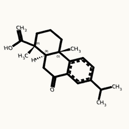 C=C(O)[C@]1(C)CCC[C@]2(C)c3ccc(C(C)C)cc3C(=O)C[C@@H]12